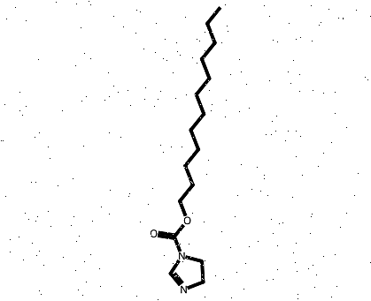 CCCCCCCCCCCCOC(=O)N1C=NCC1